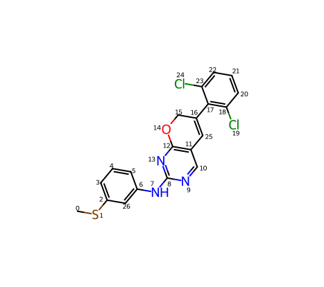 CSc1cccc(Nc2ncc3c(n2)OCC(c2c(Cl)cccc2Cl)=C3)c1